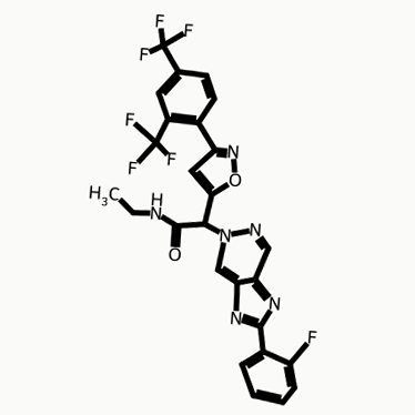 CCNC(=O)C(c1cc(-c2ccc(C(F)(F)F)cc2C(F)(F)F)no1)n1cc2nc(-c3ccccc3F)nc-2cn1